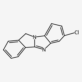 Clc1ccc2c(c1)nc1n2Cc2ccccc2-1